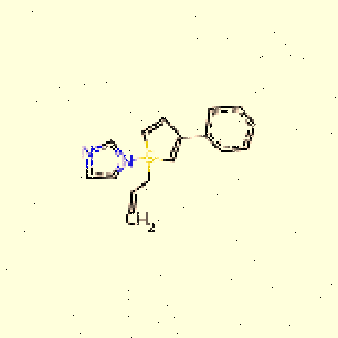 C=CCS1(n2ccnc2)C=CC(c2ccccc2)=C1